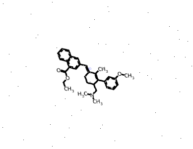 CCOC(=O)c1cc(/C=C2\CCC(CN(C)C)C(c3cccc(OC)c3)=C2C)cc2ccccc12